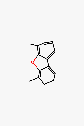 CC1=c2oc3c(C)cccc3c2=CCC1